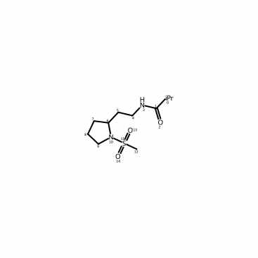 CC(C)C(=O)NCCC1CCCN1S(C)(=O)=O